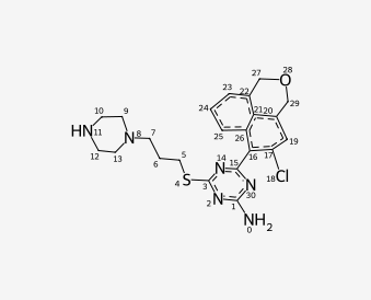 Nc1nc(SCCCN2CCNCC2)nc(-c2c(Cl)cc3c4c(cccc24)COC3)n1